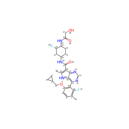 Cc1ccc(OCC2CC2)c(-c2ncnc3c(C(=O)NC4CCC(NC(=O)CO)C(F)C4)c(C)[nH]c23)c1F